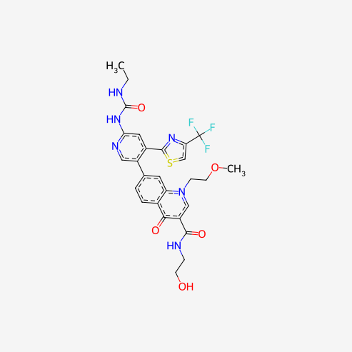 CCNC(=O)Nc1cc(-c2nc(C(F)(F)F)cs2)c(-c2ccc3c(=O)c(C(=O)NCCO)cn(CCOC)c3c2)cn1